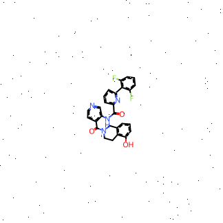 O=C(Nc1cnccc1C(=O)N1CCc2c(O)cccc2C1)c1cccc(-c2c(F)cccc2F)n1